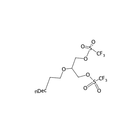 CCCCCCCCCCCCOC(COS(=O)(=O)C(F)(F)F)COS(=O)(=O)C(F)(F)F